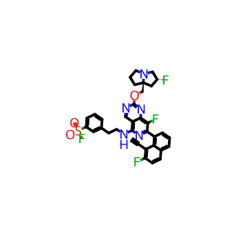 C#Cc1c(F)ccc2cccc(-c3nc(NCCc4cccc(S(=O)(=O)F)c4)c4cnc(OC[C@@]56CCCN5C[C@H](F)C6)nc4c3F)c12